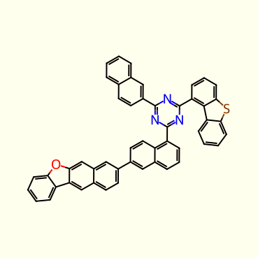 c1ccc2cc(-c3nc(-c4cccc5cc(-c6ccc7cc8c(cc7c6)oc6ccccc68)ccc45)nc(-c4cccc5sc6ccccc6c45)n3)ccc2c1